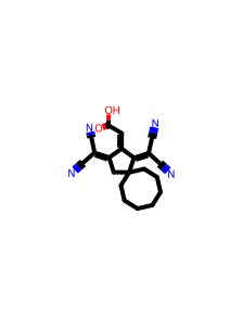 N#CC(C#N)=C1CC2(CCCCCCC2)C(=C(C#N)C#N)/C1=C/C(=O)O